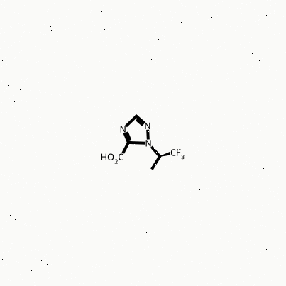 C[C@@H](n1ncnc1C(=O)O)C(F)(F)F